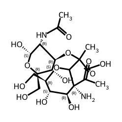 CC(=O)N[C@@H]1[C@@H](OC(C)(C(=O)O)C2O[C@H](CO)[C@@H](O)[C@H](O)[C@]2(N)C(C)=O)[C@H](O)[C@@H](CO)O[C@@H]1O